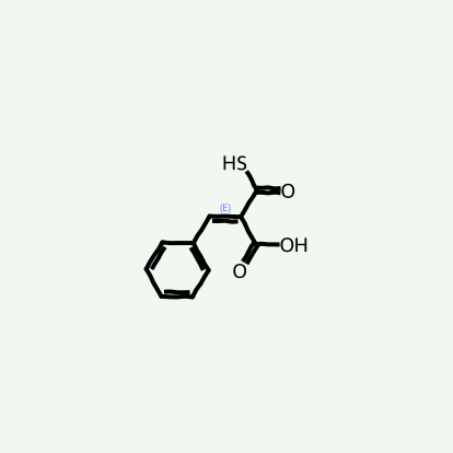 O=C(O)/C(=C\c1ccccc1)C(=O)S